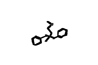 COCCP(=O)(Oc1ccccc1)Oc1ccccc1